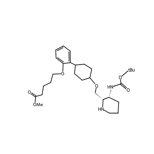 COC(=O)CCCCOc1ccccc1C1CCC(OC[C@H]2NCCC[C@H]2NC(=O)OC(C)(C)C)CC1